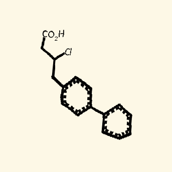 O=C(O)CC(Cl)Cc1ccc(-c2ccccc2)cc1